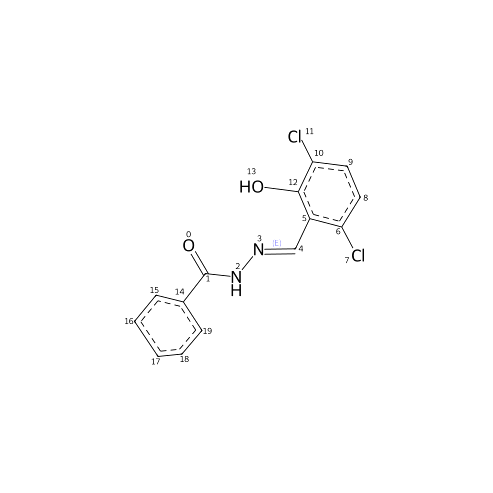 O=C(N/N=C/c1c(Cl)ccc(Cl)c1O)c1ccccc1